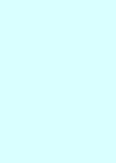 Cc1c(C2CCCC2)n(-c2ccccc2)[nH]c1=O